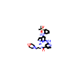 CC(C)S(=O)(=O)c1ccccc1Nc1cc(Nc2cc(C(=O)NCCCN3CCOCC3)ccn2)nc2[nH]ccc12